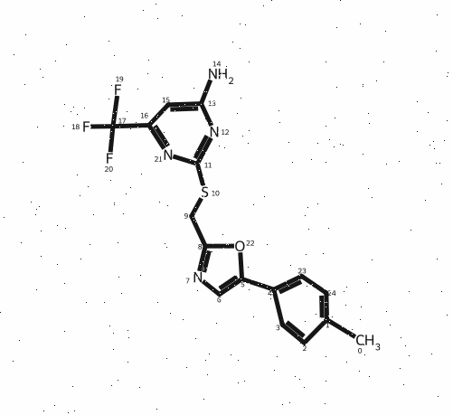 Cc1ccc(-c2cnc(CSc3nc(N)cc(C(F)(F)F)n3)o2)cc1